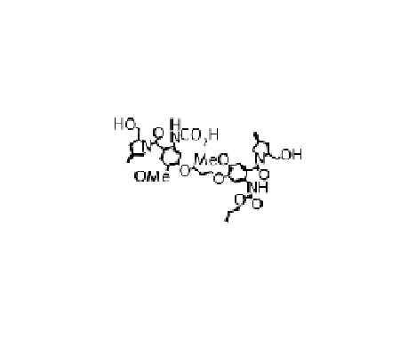 C=CCOC(=O)Nc1cc(OCCCOc2cc(NC(=O)O)c(C(=O)N3CC(=C)CC3CO)cc2OC)c(OC)cc1C(=O)N1CC(=C)CC1CO